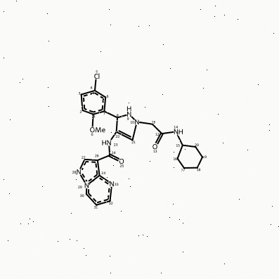 COc1ccc(Cl)cc1C1NN(CC(=O)NC2CCCCC2)C=C1NC(=O)c1cnn2cccnc12